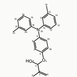 C=C(C)C(O)Oc1ccc(N(c2cccc(C)c2)c2cccc(C)c2)cc1